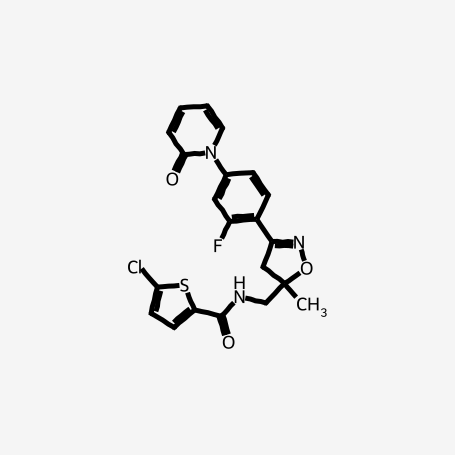 CC1(CNC(=O)c2ccc(Cl)s2)CC(c2ccc(-n3ccccc3=O)cc2F)=NO1